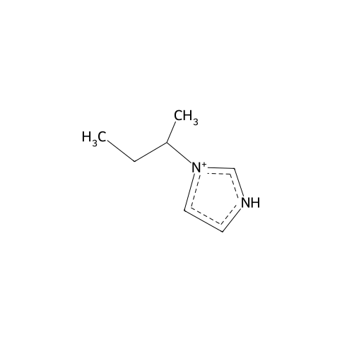 CCC(C)[n+]1cc[nH]c1